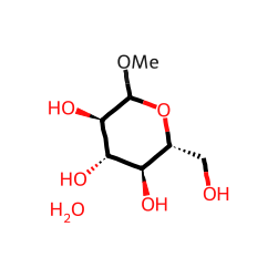 COC1O[C@H](CO)[C@@H](O)[C@H](O)[C@H]1O.O